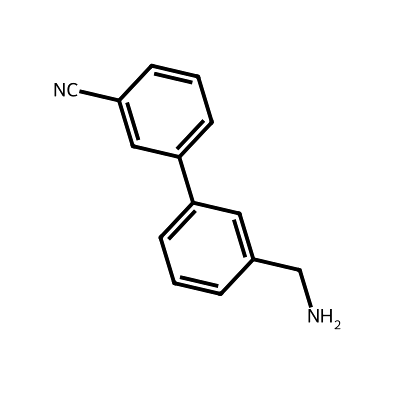 N#Cc1cccc(-c2cccc(CN)c2)c1